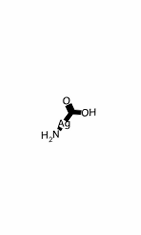 [NH2][Ag][C](=O)O